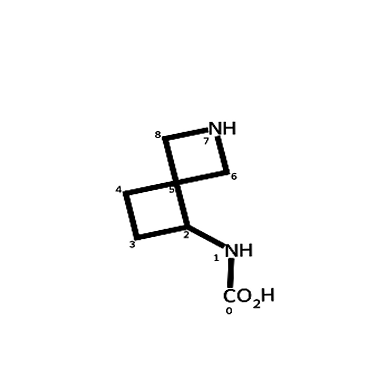 O=C(O)NC1CCC12CNC2